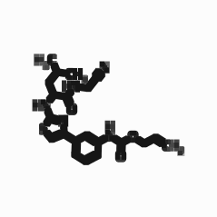 C=CCOC(=O)Nc1cccc(-c2csc(NC(CC(C)C)C(=O)NCC#N)n2)c1